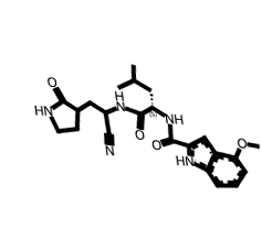 COc1cccc2[nH]c(C(=O)N[C@@H](CC(C)C)C(=O)NC(C#N)CC3CCNC3=O)cc12